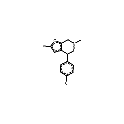 Cc1cc2c(o1)CN(C)CC2c1ccc(Cl)cc1